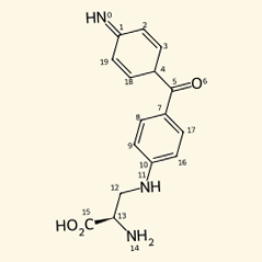 N=C1C=CC(C(=O)c2ccc(NC[C@@H](N)C(=O)O)cc2)C=C1